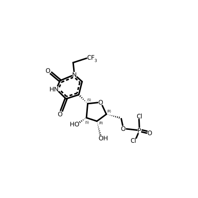 O=c1[nH]c(=O)n(CC(F)(F)F)cc1[C@@H]1O[C@H](COP(=O)(Cl)Cl)[C@H](O)[C@@H]1O